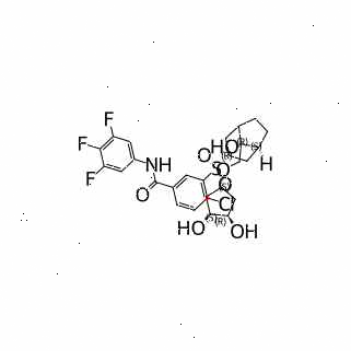 O=C(Nc1cc(F)c(F)c(F)c1)c1ccc(Cl)c(S(=O)(=O)[C@@H]2CC3CC[C@@H](C2)[C@@]3(O)CO[C@@H]2C[C@@H](O)[C@@H](O)C2)c1